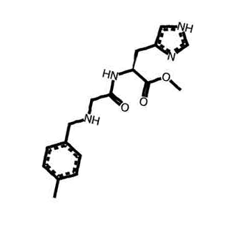 COC(=O)[C@H](Cc1c[nH]cn1)NC(=O)CNCc1ccc(C)cc1